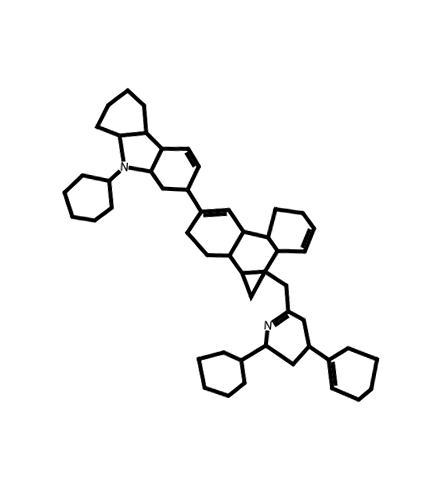 C1=CC2C(CC1)C1C=C(C3C=CC4C5CCCCC5N(C5CCCCC5)C4C3)CCC1C1CC21CC1=NC(C2CCCCC2)CC(C2=CCCCC2)C1